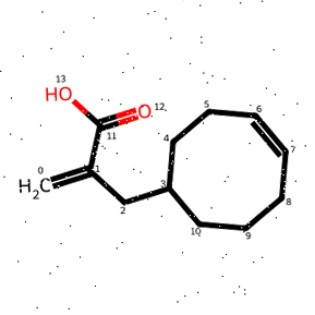 C=C(CC1CCC=CCCC1)C(=O)O